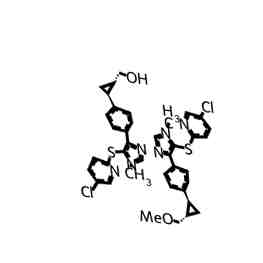 COC[C@H]1C[C@@H]1c1ccc(-c2ncn(C)c2Sc2ccc(Cl)cn2)cc1.Cn1cnc(-c2ccc([C@H]3C[C@@H]3CO)cc2)c1Sc1ccc(Cl)cn1